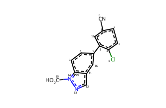 N#Cc1ccc(Cl)c(-c2ccc3c(cnn3C(=O)O)c2)c1